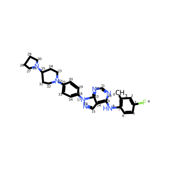 Cc1cc(F)ccc1Nc1ncnc2c1cnn2-c1ccc(N2CCC(N3CCCC3)CC2)cc1